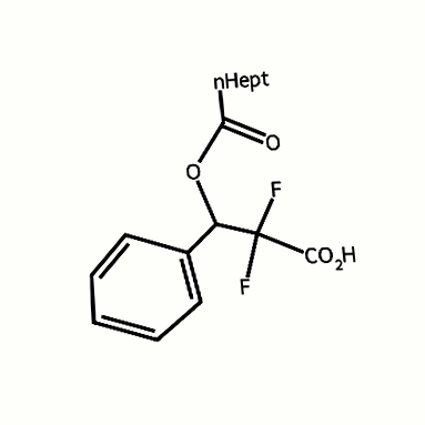 CCCCCCCC(=O)OC(c1ccccc1)C(F)(F)C(=O)O